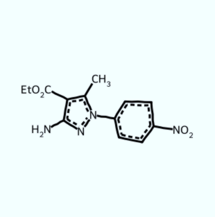 CCOC(=O)c1c(N)nn(-c2ccc([N+](=O)[O-])cc2)c1C